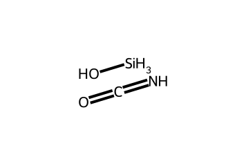 N=C=O.O[SiH3]